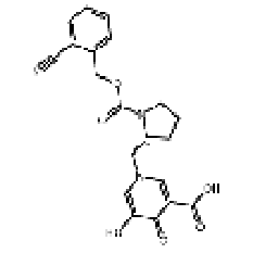 N#Cc1ccccc1COC(=O)N1CCC[C@H]1Cn1cc(O)c(=O)c(C(=O)O)c1